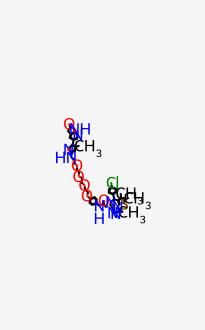 Cc1cc(NCCOCCOCCOCCOc2ccc(NC(=O)C[C@@H]3N=C(c4ccc(Cl)cc4)c4c(sc(C)c4C)-n4c(C)nnc43)cc2)ncc1-c1cnc2c(c1)CC(=O)N2